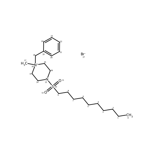 CCCCCCCCCCS(=O)(=O)N1CC[N+](C)(Cc2ccccc2)CC1.[Br-]